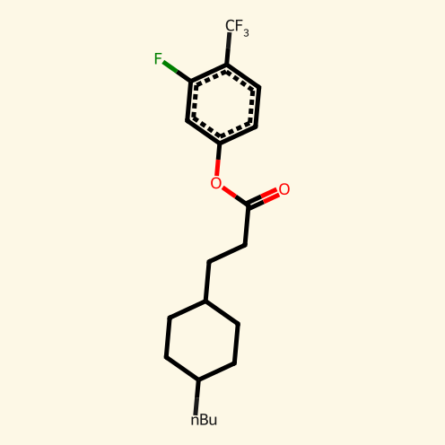 CCCCC1CCC(CCC(=O)Oc2ccc(C(F)(F)F)c(F)c2)CC1